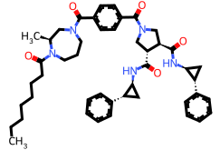 CCCCCCCC(=O)N1CCCN(C(=O)c2ccc(C(=O)N3C[C@@H](C(=O)N[C@H]4C[C@@H]4c4ccccc4)[C@H](C(=O)N[C@H]4C[C@@H]4c4ccccc4)C3)cc2)C[C@@H]1C